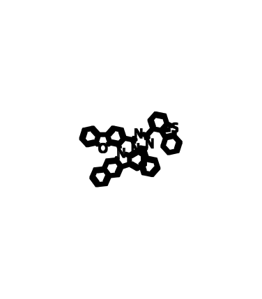 CC12C(c3nc(-c4ccccc4)nc(-c4ccc5c(oc6ccccc65)c4-n4c5ccccc5c5cc6ccccc6cc54)n3)=CC=CC1SC1=C2CCC=C1